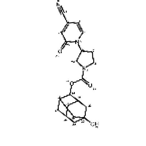 N#Cc1ccn(C2CCN(C(=O)OC3C4CC5CC3CC(O)(C5)C4)C2)c(=O)c1